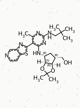 Cc1nc(NCC(C)(C)C)nc(N[C@@H]2C[C@H](CO)[C@H]3OC(C)(C)O[C@H]32)c1-c1nc2cnccc2s1